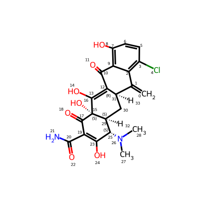 C=C1c2c(Cl)ccc(O)c2C(=O)C2=C(O)[C@]3(O)C(=O)C(C(N)=O)=C(O)[C@@H](N(C)C)[C@@H]3C[C@H]12